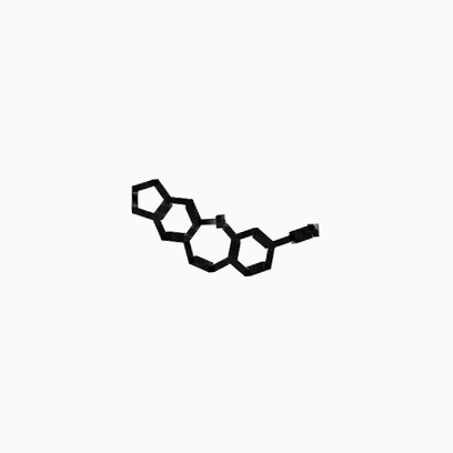 N#Cc1ccc2c(c1)Sc1cc3c(cc1C=C2)CCC3